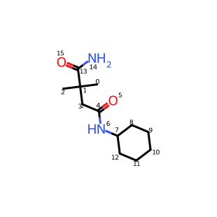 CC(C)([CH]C(=O)NC1CCCCC1)C(N)=O